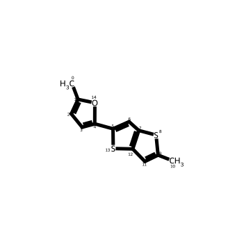 Cc1ccc(-c2cc3sc(C)cc3s2)o1